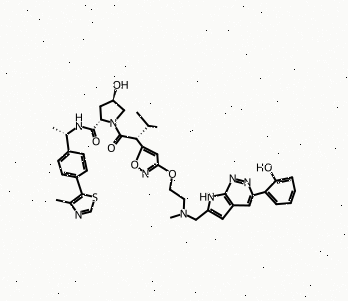 Cc1ncsc1-c1ccc([C@H](C)NC(=O)[C@@H]2C[C@@H](O)CN2C(=O)[C@@H](c2cc(OCCN(C)Cc3cc4cc(-c5ccccc5O)nnc4[nH]3)no2)C(C)C)cc1